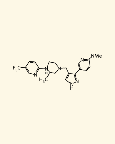 CNc1ccc(-c2n[nH]cc2CN2CCN(c3ccc(C(F)(F)F)cn3)[C@H](C)C2)cn1